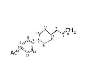 C=CC[C@H]1CC[C@H](c2ccc(C(C)=O)cc2)CC1